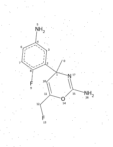 CC1(c2cc(N)ccc2F)C=C(CF)OC(N)=N1